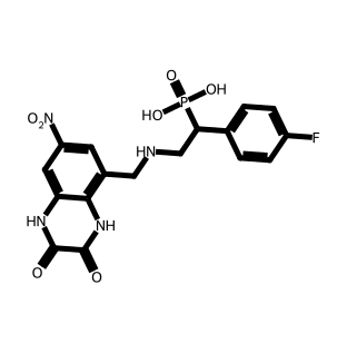 O=c1[nH]c2cc([N+](=O)[O-])cc(CNCC(c3ccc(F)cc3)P(=O)(O)O)c2[nH]c1=O